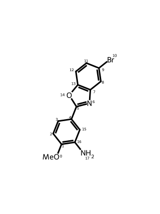 COc1ccc(-c2nc3cc(Br)ccc3o2)cc1N